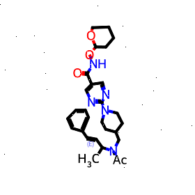 CC(=O)N(CC1CCN(c2ncc(C(=O)NOC3CCCCO3)cn2)CC1)C(C)/C=C/c1ccccc1